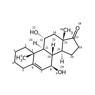 C[C@]12CCCCC1=C[C@H](O)[C@@H]1[C@@H]2[C@H](O)C[C@]2(C)C(=O)CC[C@@H]12